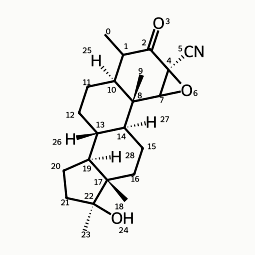 CC1C(=O)[C@@]2(C#N)OC2[C@@]2(C)[C@H]1CC[C@@H]1[C@@H]2CC[C@@]2(C)[C@H]1CC[C@]2(C)O